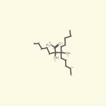 CCCCCC(O)(CCCCC)C(O)(CCCCC)C(N)=O